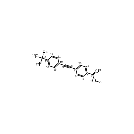 COC(=O)c1ccc(C#Cc2ccc(C(F)(F)F)cc2)cc1